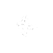 O=C(N[C@H](CN1CCC1)[C@@H](O)c1cc(F)c2c(c1)OCCO2)/C(=N/O)c1ccc2cc(Cl)ccc2c1